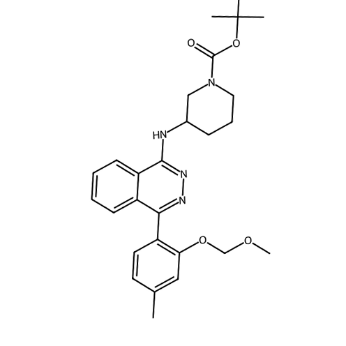 COCOc1cc(C)ccc1-c1nnc(NC2CCCN(C(=O)OC(C)(C)C)C2)c2ccccc12